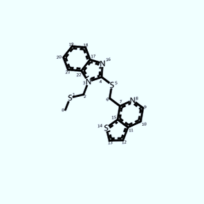 CSCn1c(SCc2nccc3ccsc23)nc2ccccc21